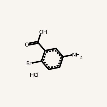 Cl.Nc1ccc(Br)c(C(=O)O)c1